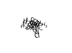 C[C@@H](Cc1sc2c(N(Cc3ccco3)C(=O)OC(C)(C)C)cc(Cl)nc2c1C1CC1)NC(=O)OC(C)(C)C